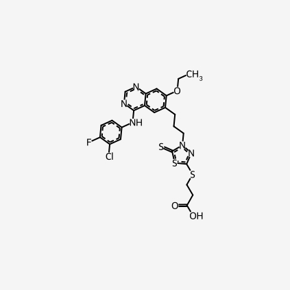 CCOc1cc2ncnc(Nc3ccc(F)c(Cl)c3)c2cc1CCCn1nc(SCCC(=O)O)sc1=S